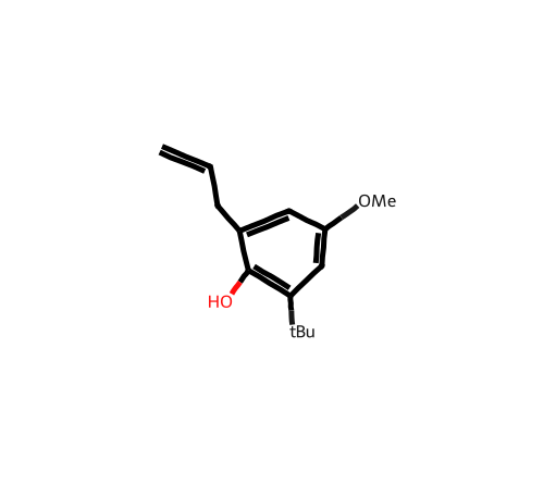 C=CCc1cc(OC)cc(C(C)(C)C)c1O